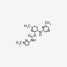 Cc1cncc(Nc2ccc(C)nc2OC(=O)Nc2ccn(C)n2)n1